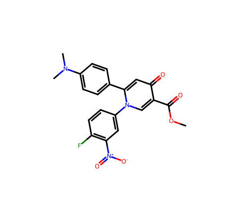 COC(=O)c1cn(-c2ccc(F)c([N+](=O)[O-])c2)c(-c2ccc(N(C)C)cc2)cc1=O